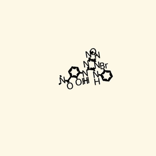 CN(C)C(=O)c1cccc(Nc2nc3nonc3nc2Nc2ccccc2Br)c1O